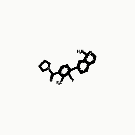 Nc1nccc2ccc(-c3c[c]c(C(=O)N4CCCC4)c(C(F)(F)F)c3F)cc12